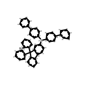 Brc1ccccc1C1(c2ccccc2)c2ccccc2-c2ccc(N(c3ccc(-c4ccccc4)cc3)c3ccc(-c4ccccc4)cc3)cc21